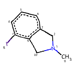 CN1Cc2cccc(I)c2C1